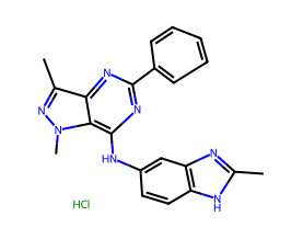 Cc1nc2cc(Nc3nc(-c4ccccc4)nc4c(C)nn(C)c34)ccc2[nH]1.Cl